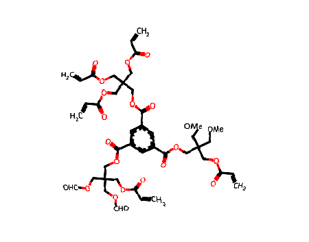 C=CC(=O)OCC(COC)(COC)COC(=O)c1cc(C(=O)OCC(COC=O)(COC=O)COC(=O)C=C)cc(C(=O)OCC(COC(=O)C=C)(COC(=O)C=C)COC(=O)C=C)c1